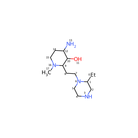 CCC1CNCCN1CCC1C(O)C(N)CCN1C